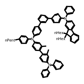 CCCCCCC1(CCCCCC)c2ccccc2-c2ccc(N(c3ccccc3)c3ccc(-c4cccc(-c5ccc(N(c6ccc(CCCCC)cc6)c6ccc(-c7ccc(N(c8ccccc8)c8ccccc8)cc7C)c(C)c6)cc5)c4)cc3)cc21